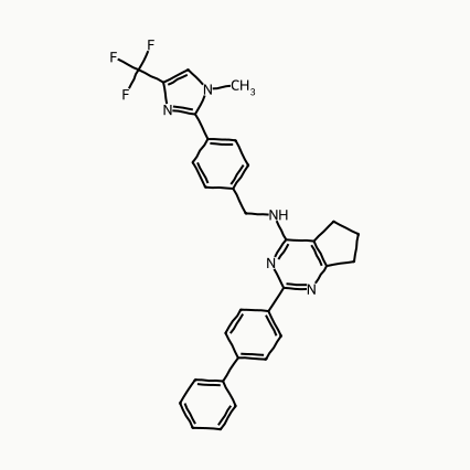 Cn1cc(C(F)(F)F)nc1-c1ccc(CNc2nc(-c3ccc(-c4ccccc4)cc3)nc3c2CCC3)cc1